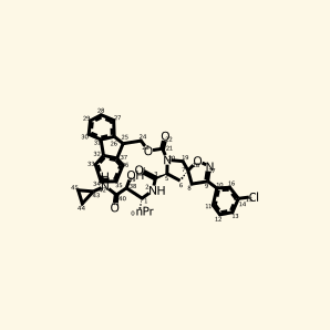 CCC[C@@H](NC(=O)[C@@H]1C[C@]2(CC(c3cccc(Cl)c3)=NO2)CN1C(=O)OCC1c2ccccc2-c2ccccc21)C(O)C(=O)NC1CC1